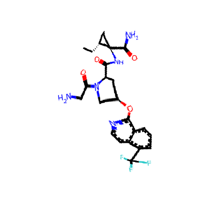 CC[C@@H]1C[C@]1(NC(=O)C1C[C@@H](Oc2nccc3c(C(F)(F)F)cccc23)CN1C(=O)CN)C(N)=O